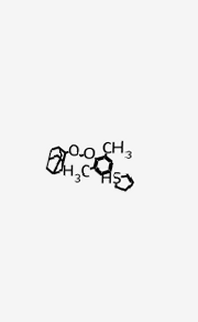 Cc1cc([SH]2CCCC2)cc(C)c1OCOC1C2CC3CC(C2)CC1C3